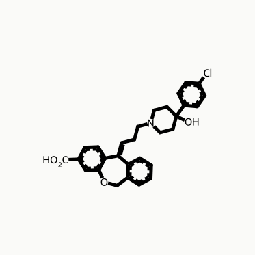 O=C(O)c1ccc2c(c1)OCc1ccccc1C2=CCCN1CCC(O)(c2ccc(Cl)cc2)CC1